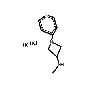 CNC1CN(c2ccncc2)C1.Cl.Cl